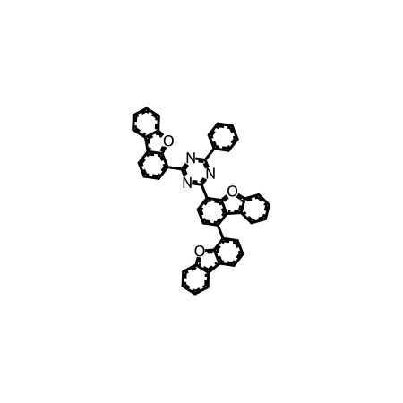 c1ccc(-c2nc(-c3cccc4c3oc3ccccc34)nc(-c3ccc(-c4cccc5c4oc4ccccc45)c4c3oc3ccccc34)n2)cc1